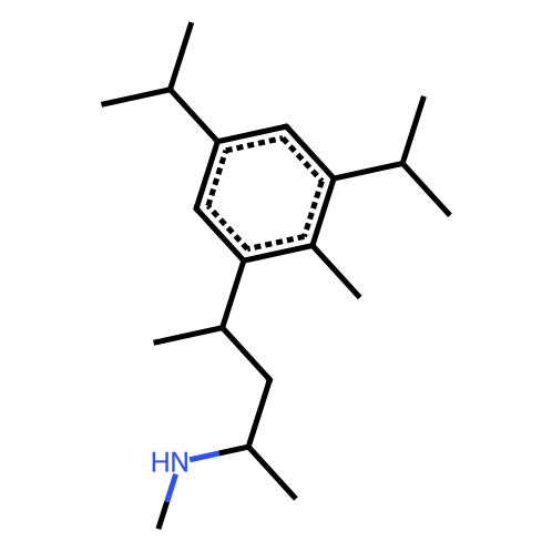 CNC(C)CC(C)c1cc(C(C)C)cc(C(C)C)c1C